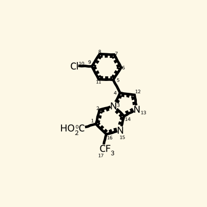 O=C(O)c1cn2c(-c3cccc(Cl)c3)cnc2nc1C(F)(F)F